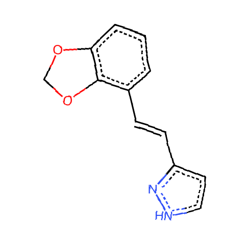 C(=Cc1cccc2c1OCO2)c1cc[nH]n1